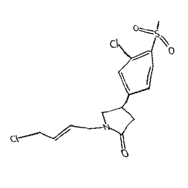 CS(=O)(=O)c1ccc(C2CC(=O)N(CC=CCCl)C2)cc1Cl